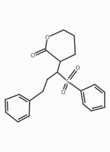 O=C1OCCCC1C(CCc1ccccc1)S(=O)(=O)c1ccccc1